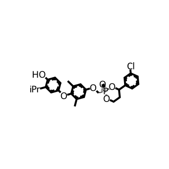 Cc1cc(OC[P@@]2(=O)OCCC(c3cccc(Cl)c3)O2)cc(C)c1Oc1ccc(O)c(C(C)C)c1